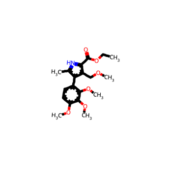 CCOC(=O)c1[nH]c(C)c(-c2ccc(OC)c(OC)c2OC)c1COC